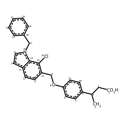 CC(CC(=O)O)c1ccc(OCc2ccc3ccn(Cc4ccccc4)c3c2Cl)cc1